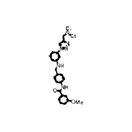 CCN(CC)Cc1cn(-c2cccc(NCc3ccc(NC(=O)c4cccc(OC)c4)cc3)c2)nn1